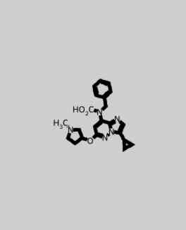 CN1CCC(Oc2cc(N(Cc3ccccc3)C(=O)O)c3ncc(C4CC4)n3n2)C1